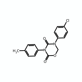 Cc1ccc(N2C(=O)OCN(c3ccc(Cl)cc3)C2=O)cc1